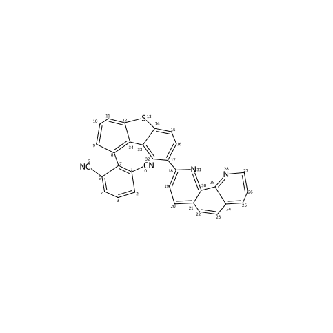 N#Cc1cccc(C#N)c1-c1cccc2sc3ccc(-c4ccc5ccc6cccnc6c5n4)cc3c12